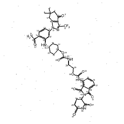 CC1(C)CC(=O)c2c(C(F)(F)F)nn(-c3ccc(C(N)=O)c(N[C@H]4CC[C@H](OC(=O)NCCOC(=O)Nc5cccc6c5C(=O)N(C5CCC(=O)NC5=O)C6=O)CC4)c3)c2C1